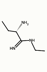 CCNC(=N)[C@@H](N)CC